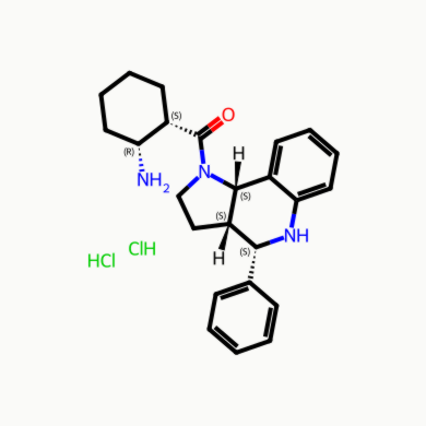 Cl.Cl.N[C@@H]1CCCC[C@@H]1C(=O)N1CC[C@H]2[C@@H](c3ccccc3)Nc3ccccc3[C@H]21